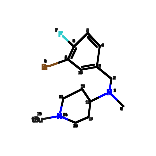 CN(Cc1ccc(F)c(Br)c1)C1CCN(C(C)(C)C)CC1